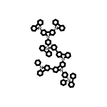 c1ccc(-n2c3ccccc3c3cc(-c4ccc5c(c4)c4cc(-n6c7ccccc7c7cc(-c8cccc([Si]9(c%10ccc(-n%11c%12ccc(-n%13c%14ccccc%14c%14ccccc%14%13)cc%12c%12cc(-n%13c%14ccccc%14c%14ccccc%14%13)ccc%12%11)cc%10)c%10ccccc%10-c%10ccccc%109)c8)ccc76)ccc4n5-c4ccc([Si]5(c6ccccc6)c6ccccc6-c6ccccc65)cc4)ccc32)cc1